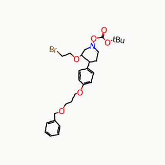 CC(C)(C)OC(=O)ON1CCC(c2ccc(OCCCOCc3ccccc3)cc2)C(OCCBr)C1